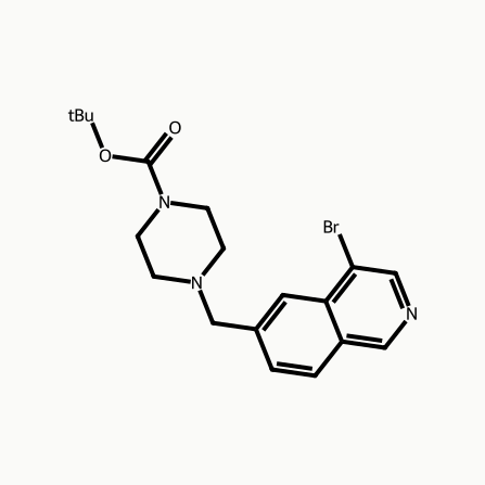 CC(C)(C)OC(=O)N1CCN(Cc2ccc3cncc(Br)c3c2)CC1